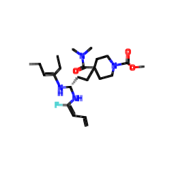 C=C/C=C(/F)N[C@@H](CCC1(C(=O)N(C)C)CCN(C(=O)OC)CC1)N/C(=C/CC)CC